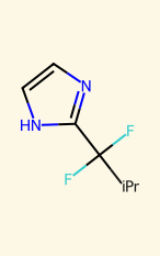 CC(C)C(F)(F)c1ncc[nH]1